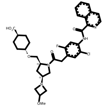 COC1CN([C@H]2C[C@@H](CO[C@H]3CC[C@H](C(=O)O)CC3)N(C(=O)Cc3cc(Cl)c(NC(=O)c4nccc5ccccc45)cc3F)C2)C1